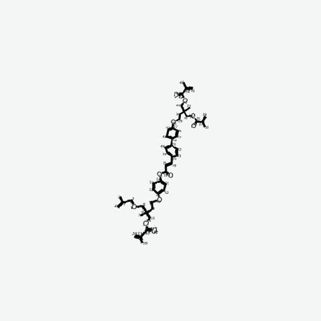 C=C(C)COCC(C)(CCOc1ccc(OC(=O)/C=C/c2ccc(-c3ccc(OCCC(C)(COC(=O)C(=C)C)COC(=O)C(=C)C)cc3)cc2)cc1)COC(=O)C(=C)C